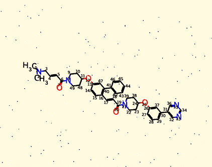 CN(C)C/C=C/C(=O)N1CCC(Oc2ccc(/C=C/C(=O)N3CCC(Oc4cccc(-c5cncnc5)c4)CC3)c(-c3ccccc3)c2)CC1